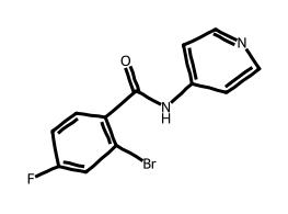 O=C(Nc1ccncc1)c1ccc(F)cc1Br